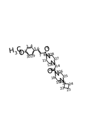 COc1ccc(C=CC(=O)N2CCN(CC(=O)N3CCN(C4CCC4)CC3)CC2)cc1